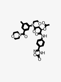 CC(=O)O[C@@H](C(=O)Nc1ccc(-c2noc(=O)[nH]2)cc1)[C@H]1OCCN(c2cc(C)cc(C(=O)N3CCOCC3)c2)C1=O